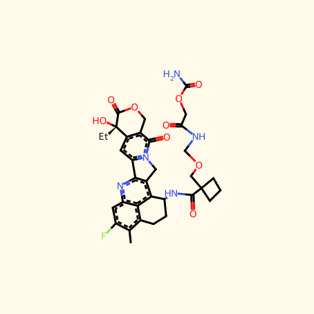 CC[C@@]1(O)C(=O)OCc2c1cc1n(c2=O)Cc2c-1nc1cc(F)c(C)c3c1c2[C@@H](NC(=O)C1(COCNC(=O)COC(N)=O)CCC1)CC3